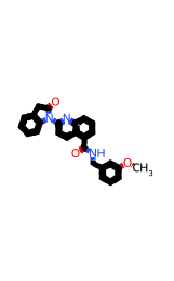 COc1cccc(CNC(=O)c2cccc3nc(N4C(=O)Cc5ccccc54)ccc23)c1